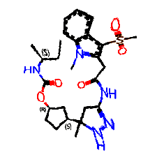 CC[C@H](C)NC(=O)O[C@@H]1CC[C@H](C2(C)CC(NC(=O)Cc3c(S(C)(=O)=O)c4ccccc4n3C)=NN2)C1